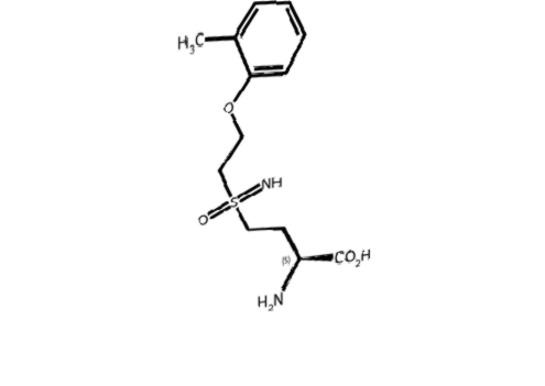 Cc1ccccc1OCCS(=N)(=O)CC[C@H](N)C(=O)O